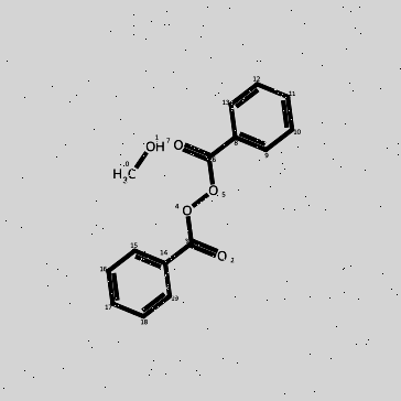 CO.O=C(OOC(=O)c1ccccc1)c1ccccc1